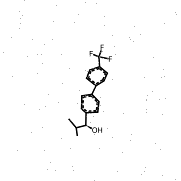 CC(C)[C@H](O)c1ccc(-c2ccc(C(F)(F)F)cc2)cc1